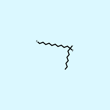 [CH2]C(F)(CCCCCCC)CCCCCCCCCCF